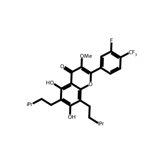 COc1c(-c2ccc(C(F)(F)F)c(F)c2)oc2c(CCC(C)C)c(O)c(CCC(C)C)c(O)c2c1=O